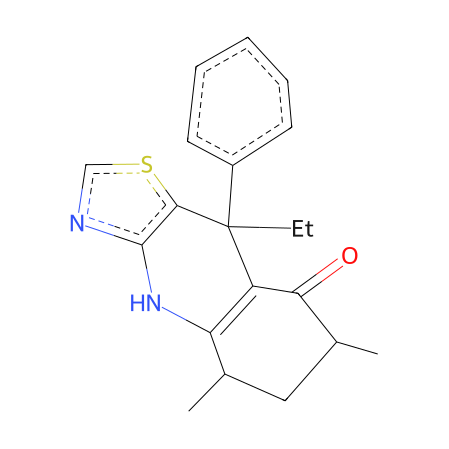 CCC1(c2ccccc2)C2=C(Nc3ncsc31)C(C)CC(C)C2=O